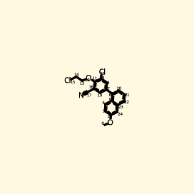 COc1ccc2c(-c3cc(Cl)c(OCCCl)c(C#N)c3)cccc2c1